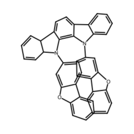 C1=CC2c3ccc4c5ccccc5n(-c5ccc6c(c5)oc5ccccc56)c4c3N(c3ccc4c(c3)oc3ccccc34)C2C=C1